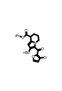 CCCCc1cc2n(c1C(=O)c1occc1Cl)CCCC2C(=O)OC(C)C